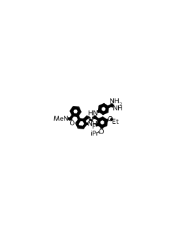 CCOc1cc(OC(C)C)c(F)c(C(Nc2ccc(C(=N)N)cc2)N2C=C3C(c4ccccc4C(=O)NC)=CC=CC3N2)c1